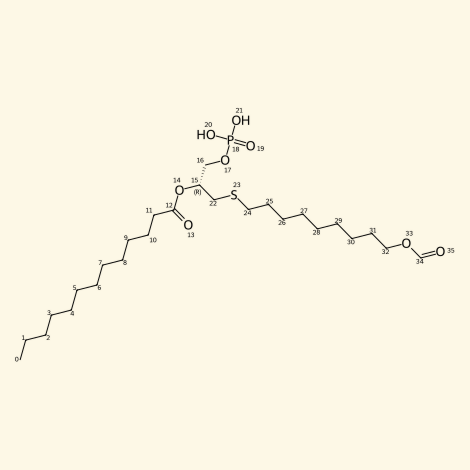 CCCCCCCCCCCCC(=O)O[C@H](COP(=O)(O)O)CSCCCCCCCCCOC=O